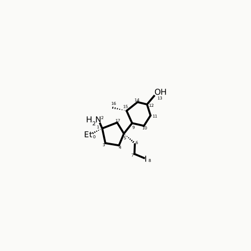 CC[C@@]1(N)CC[C@](CCI)(C2CCC(O)C[C@H]2C)C1